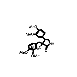 CCOC(=O)C1(Cc2ccc(OC)c(OC)c2)C(=O)NCC1c1ccc(OC)c(OC)c1